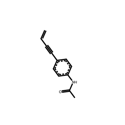 C=CC#Cc1ccc(NC(C)=O)cc1